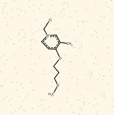 COCCCOc1cc[n+](CCl)cc1C